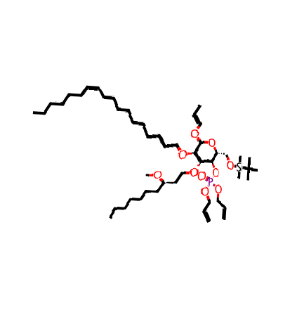 C=CCOP(=O)(OCC=C)O[C@H]1[C@H](OCC[C@@H](CCCCCCC)OC)[C@@H](OCCCCCCCCCC/C=C\CCCCCC)C(O/C=C/C)O[C@@H]1CO[Si](C)(C)C(C)(C)C